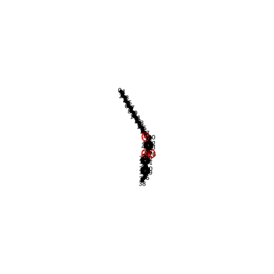 CCCCCCCCCCCCCCCCCCOC(C)c1ccc(C(=O)Oc2ccc(-c3ccc(CCC)cc3)cc2)cc1